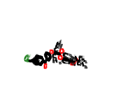 CC(C)OC(=O)C(C)(C)OC(=O)C(C)(C)Oc1ccc(C(=O)c2ccc(Cl)cc2)cc1